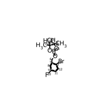 CC1(C)OB(OCc2cc(F)ccc2Br)OC1(C)C